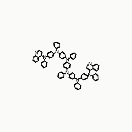 c1ccc(N(c2ccc(N(c3ccccc3)c3ccc(N(c4ccccc4)c4ccc(N(c5ccccc5)c5ccnc6ccccc56)cc4)cc3)cc2)c2ccc(N(c3ccccc3)c3ccc(N(c4ccccc4)c4ccnc5ccccc45)cc3)cc2)cc1